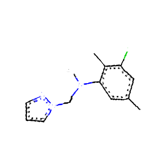 CC(=O)N(Cn1cccn1)c1cc(C)cc(Cl)c1C